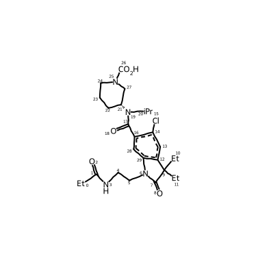 CCC(=O)NCCN1C(=O)C(CC)(CC)c2cc(Cl)c(C(=O)N(C(C)C)[C@@H]3CCCN(C(=O)O)C3)cc21